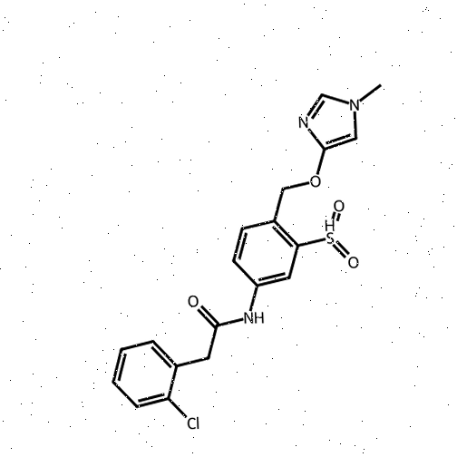 Cn1cnc(OCc2ccc(NC(=O)Cc3ccccc3Cl)cc2[SH](=O)=O)c1